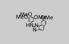 COc1ccc2ccc3cnc(Nc4cc(OC)c(OC)c(OC)c4)nc3c2c1